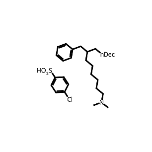 CCCCCCCCCCCC(CCCCCCN(C)C)Cc1ccccc1.O=S(=O)(O)c1ccc(Cl)cc1